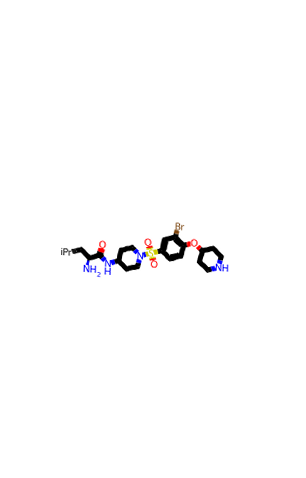 CC(C)C[C@H](N)C(=O)NC1CCN(S(=O)(=O)c2ccc(OC3CCNCC3)c(Br)c2)CC1